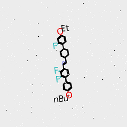 CCCCOc1ccc(-c2ccc(/C=C/C3CCC(c4ccc(OCC)cc4F)CC3)c(F)c2F)cc1